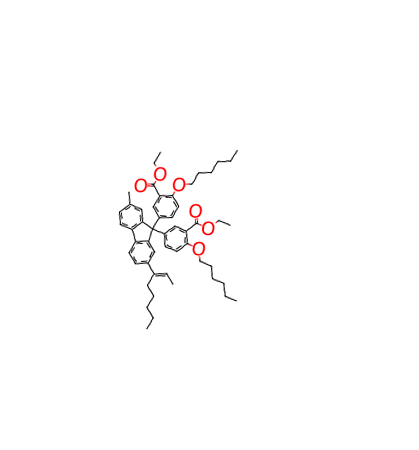 CC=C(CCCCC)c1ccc2c(c1)C(c1ccc(OCCCCCC)c(C(=O)OCC)c1)(c1ccc(OCCCCCC)c(C(=O)OCC)c1)c1cc(C)ccc1-2